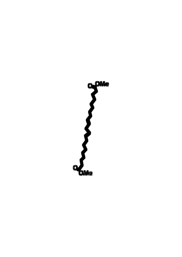 COC(=O)CCCCCCC/C=C/C/C=C/CCCCCCCC(=O)OC